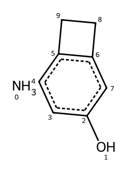 N.Oc1ccc2c(c1)CC2